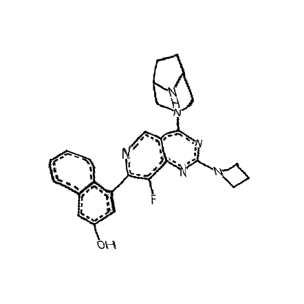 Oc1cc(-c2ncc3c(N4CC5CCC(C4)N5)nc(N4CCC4)nc3c2F)c2ccccc2c1